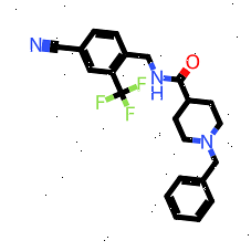 N#Cc1ccc(CNC(=O)C2CCN(Cc3ccccc3)CC2)c(C(F)(F)F)c1